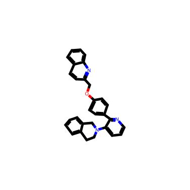 c1ccc2c(c1)CCN(c1cccnc1-c1ccc(OCc3ccc4ccccc4n3)cc1)C2